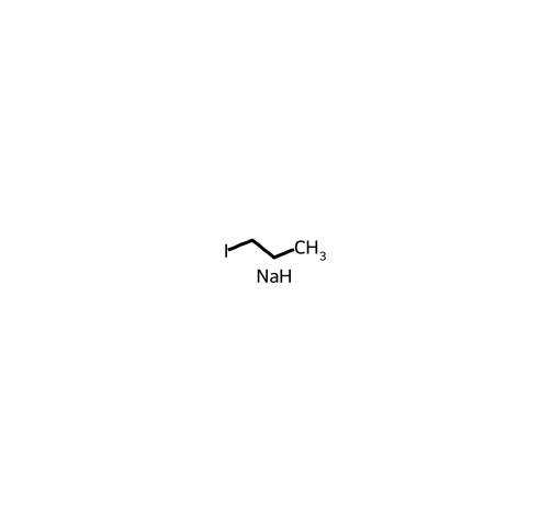 CCCI.[NaH]